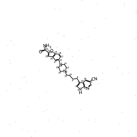 N#Cc1cnc2[nH]cc(CCCCN3CCN(c4ccc5oc(C(N)=O)cc5c4)CC3)c2c1